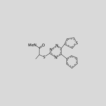 CNC(=O)C(C)Sc1nnc(-c2ccsc2)c(-c2ccccc2)n1